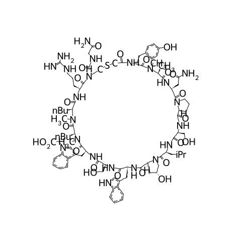 CCCC[C@H]1C(=O)N(C)[C@@H](CCCC)C(=O)N[C@@H](CCCNC(=N)N)C(=O)N[C@H](C(=O)NCC(N)=O)CSCC(=O)N[C@@H](Cc2ccc(O)cc2)C(=O)N(C)[C@@H](C)C(=O)N[C@@H](CC(N)=O)C(=O)N2CCC[C@H]2C(=O)N[C@@H](CO)C(=O)N[C@@H](CC(C)C)C(=O)N2C[C@H](O)C[C@H]2C(=O)N[C@@H](Cc2c[nH]c3ccccc23)C(=O)N[C@@H](CO)C(=O)N[C@@H](Cc2cn(CC(=O)O)c3ccccc23)C(=O)N1C